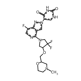 CN1CCOC(COC2CN(c3ncc(F)c4nn(-c5c[nH]c(=O)[nH]c5=O)cc34)CC2(F)F)C1